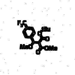 COC(=O)C(C(=O)OC(C)(C)C)C(OC)c1ccc(C(F)(F)F)cc1